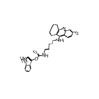 O=C(NCCCCCNc1c2c(nc3cc(Cl)ccc13)CCCC2)Oc1c[nH]c2ccccc12